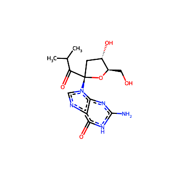 CC(C)C(=O)[C@]1(n2cnc3c(=O)[nH]c(N)nc32)C[C@H](O)[C@@H](CO)O1